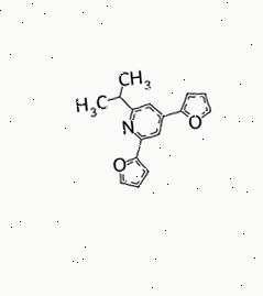 CC(C)c1cc(-c2ccco2)cc(-c2ccco2)n1